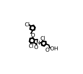 O=C(O)Cc1ccc(N2Cc3c(OCc4cccc(Cl)c4)ccc(Cl)c3C2=O)c(Cl)c1